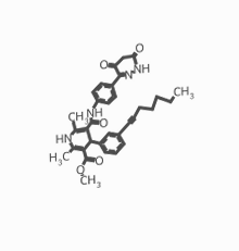 CCCCCC#Cc1cccc(C2C(C(=O)Nc3ccc(C4=NNC(=O)CC4=O)cc3)=C(C)NC(C)=C2C(=O)OC)c1